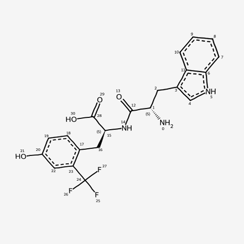 N[C@@H](Cc1c[nH]c2ccccc12)C(=O)N[C@@H](Cc1ccc(O)cc1C(F)(F)F)C(=O)O